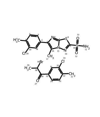 Cc1ccc(-c2nc3sc(S(N)(=O)=O)nn3c2C)cc1Cl.Cc1ccc(C(=O)C(C)Br)cc1Cl